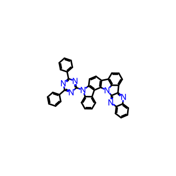 c1ccc(-c2nc(-c3ccccc3)nc(-n3c4ccccc4c4c3ccc3c5cccc6c7nc8ccccc8nc7n(c56)c34)n2)cc1